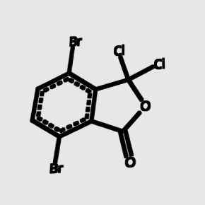 O=C1OC(Cl)(Cl)c2c(Br)ccc(Br)c21